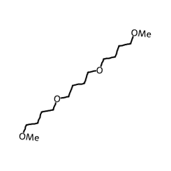 COCCCCOCCCCOCCCCOC